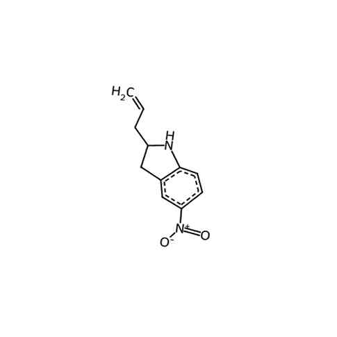 C=CCC1Cc2cc([N+](=O)[O-])ccc2N1